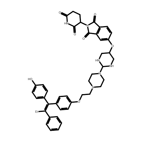 CC/C(=C(\c1ccc(O)cc1)c1ccc(OCCN2CCN(C3NCC(Oc4ccc5c(c4)C(=O)N(C4CCC(=O)NC4=O)C5=O)CN3)CC2)cc1)c1ccccc1